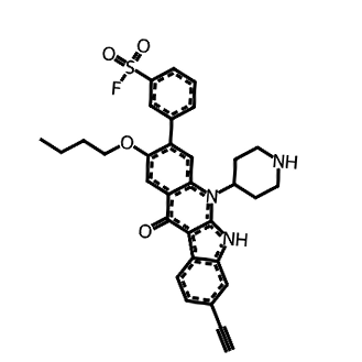 C#Cc1ccc2c(c1)[nH]c1c2c(=O)c2cc(OCCCC)c(-c3cccc(S(=O)(=O)F)c3)cc2n1C1CCNCC1